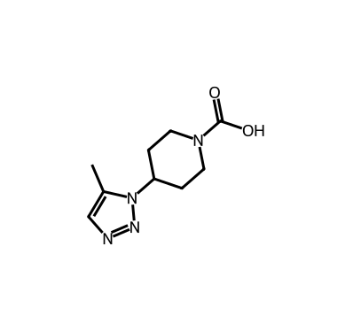 Cc1cnnn1C1CCN(C(=O)O)CC1